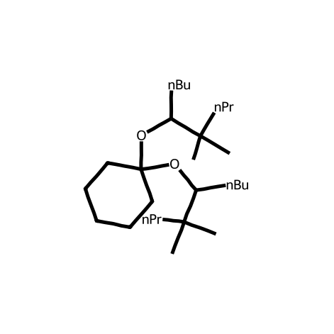 CCCCC(OC1(OC(CCCC)C(C)(C)CCC)CCCCC1)C(C)(C)CCC